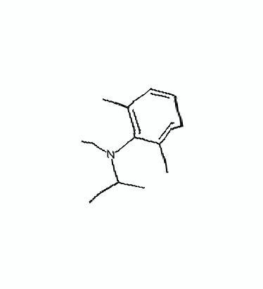 Cc1cccc(C)c1N(C)C(C)C